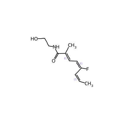 C\C=C/C(F)=C\C=C(/C)C(=O)NCCO